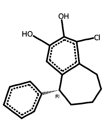 Oc1cc2c(c(Cl)c1O)CCCC[C@@H]2c1ccccc1